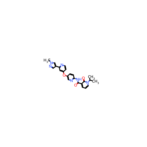 CC(C)n1cccc(C(=O)Nc2ccc(Oc3ccnc(-c4cnn(C)c4)c3)cn2)c1=O